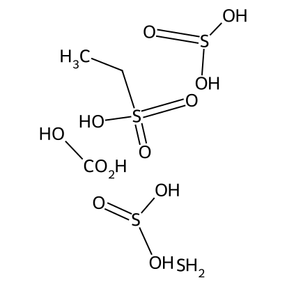 CCS(=O)(=O)O.O=C(O)O.O=S(O)O.O=S(O)O.S